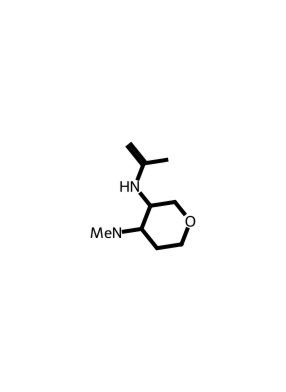 C=C(C)NC1COCCC1NC